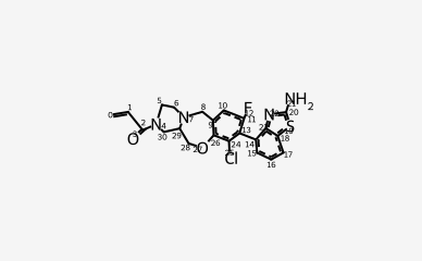 C=CC(=O)N1CCN2Cc3cc(F)c(-c4cccc5sc(N)nc45)c(Cl)c3OCC2C1